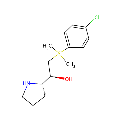 CS(C)(C[C@@H](O)[C@@H]1CCCN1)c1ccc(Cl)cc1